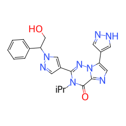 CC(C)n1c(-c2cnn(C(CO)c3ccccc3)c2)nn2c(-c3cn[nH]c3)cnc2c1=O